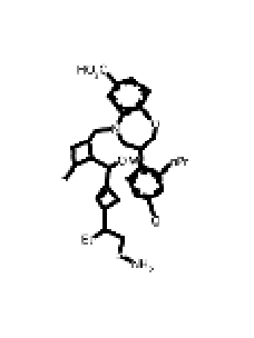 CCCc1cc(Cl)ccc1C1COc2ccc(C(=O)O)cc2N(CC2CC(C)C2C(OC)C2=CC(C(CC)CSN)C2)C1